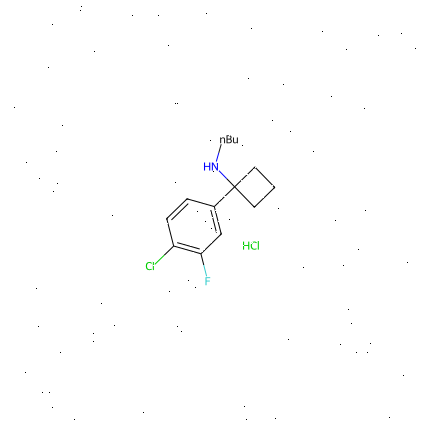 CCCCNC1(c2ccc(Cl)c(F)c2)CCC1.Cl